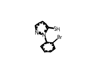 Sc1ccnn1-c1ccccc1Br